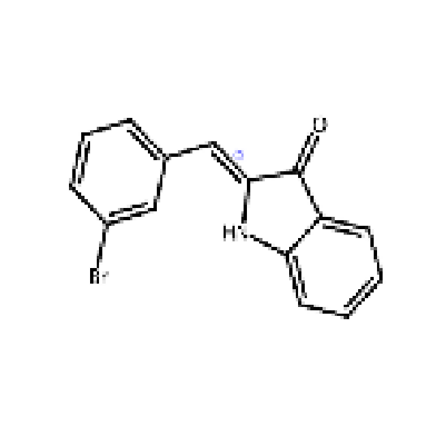 O=C1/C(=C/c2cccc(Br)c2)Nc2ccccc21